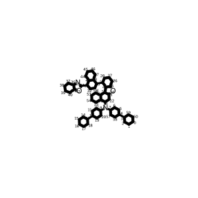 c1ccc(-c2ccc(N(c3ccc(-c4ccccc4)cc3)c3cc4oc5cccc(-c6ccc(-c7nc8ccccc8o7)c7ccccc67)c5c4c4ccccc34)cc2)cc1